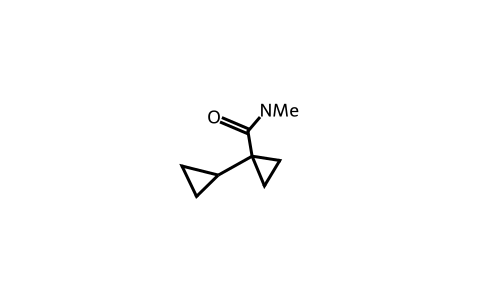 CNC(=O)C1(C2CC2)CC1